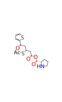 CC(=O)SC(CC(=O)OC(=O)[C@@H]1CCCN1)CC(=O)c1cccs1